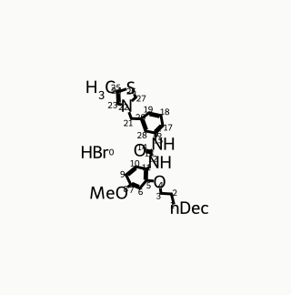 Br.CCCCCCCCCCCCOc1cc(OC)ccc1NC(=O)Nc1cccc(CN2C=C(C)SC2)c1